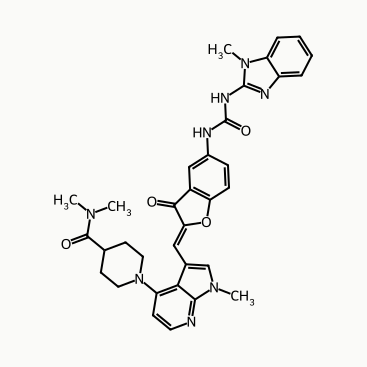 CN(C)C(=O)C1CCN(c2ccnc3c2c(/C=C2\Oc4ccc(NC(=O)Nc5nc6ccccc6n5C)cc4C2=O)cn3C)CC1